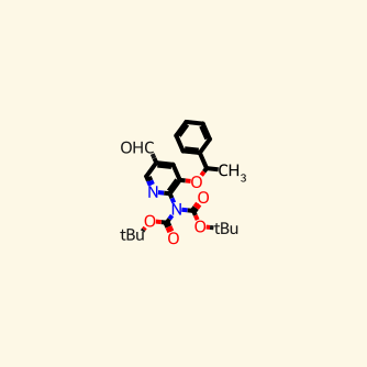 CC(Oc1cc(C=O)cnc1N(C(=O)OC(C)(C)C)C(=O)OC(C)(C)C)c1ccccc1